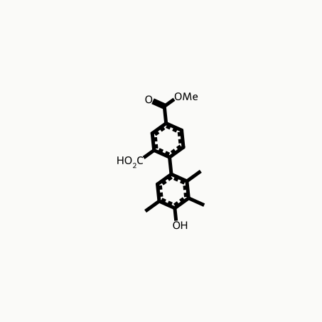 COC(=O)c1ccc(-c2cc(C)c(O)c(C)c2C)c(C(=O)O)c1